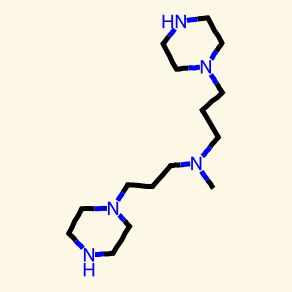 CN(CCCN1CCNCC1)CCCN1CCNCC1